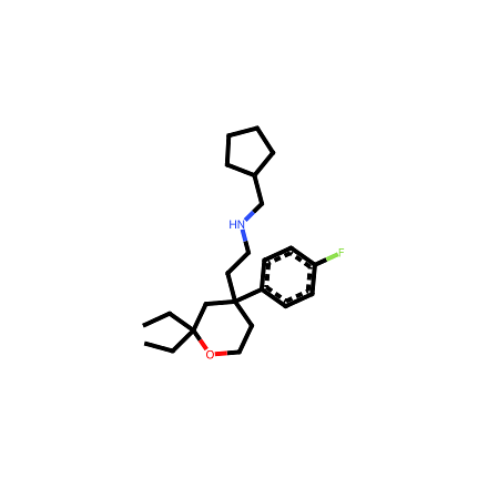 CCC1(CC)CC(CCNCC2CCCC2)(c2ccc(F)cc2)CCO1